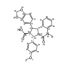 COc1ccc([C@@H]2[C@@H](C(=O)O)C(c3ccc4c(c3)OCO4)CN2C(=O)N(C)c2ccccc2)cc1